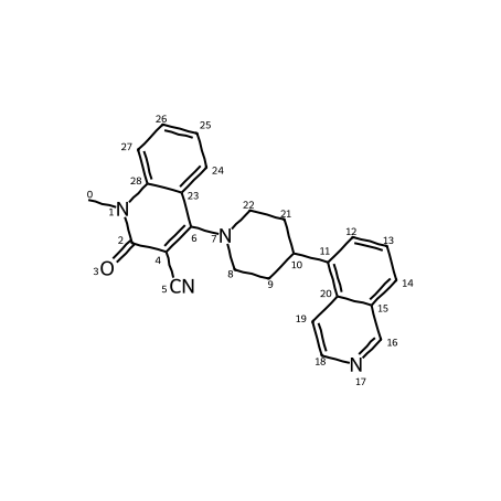 Cn1c(=O)c(C#N)c(N2CCC(c3cccc4cnccc34)CC2)c2ccccc21